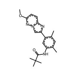 COc1ccc2nc(-c3cc(NC(=O)C(C)(C)C)c(C)cc3C)cn2n1